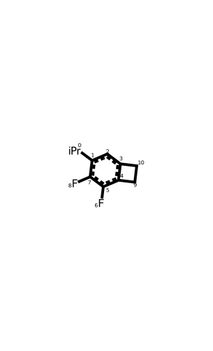 CC(C)c1cc2c(c(F)c1F)CC2